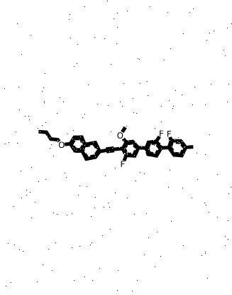 CCCCOc1ccc2cc(C#Cc3c(F)cc(-c4ccc(-c5ccc(C)cc5F)c(F)c4)cc3OC)ccc2c1